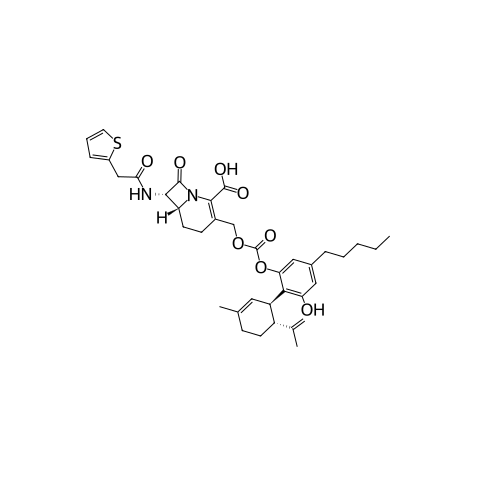 C=C(C)[C@@H]1CCC(C)=C[C@H]1c1c(O)cc(CCCCC)cc1OC(=O)OCC1=C(C(=O)O)N2C(=O)[C@@H](NC(=O)Cc3cccs3)[C@H]2CC1